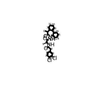 CC1C(=O)N(NC(=O)[C@H](C)NC(=O)Cc2ccc(Cl)c(Cl)c2)c2ccccc2-c2ccccc21